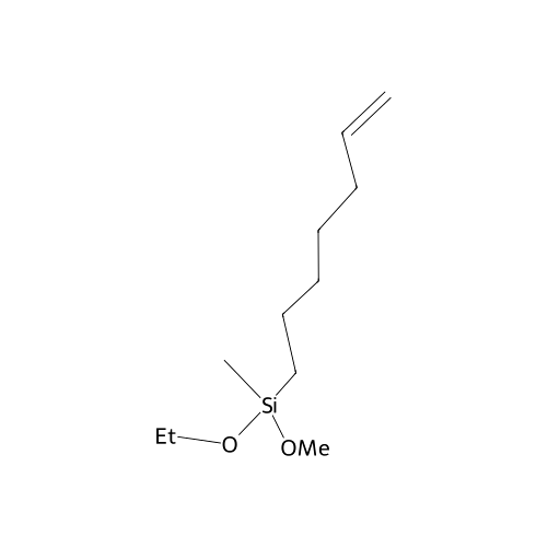 C=CCCCCC[Si](C)(OC)OCC